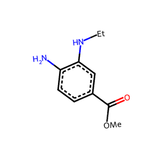 CCNc1cc(C(=O)OC)ccc1N